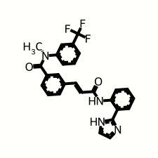 CN(C(=O)c1cccc(/C=C/C(=O)Nc2ccccc2-c2ncc[nH]2)c1)c1cccc(C(F)(F)F)c1